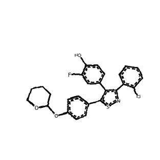 Oc1ccc(-c2c(-c3ccccc3Cl)nsc2-c2ccc(OC3CCCCO3)cc2)cc1F